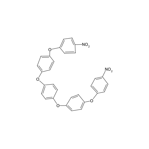 O=[N+]([O-])c1ccc(Oc2ccc(Oc3ccc(Oc4ccc(Oc5ccc([N+](=O)[O-])cc5)cc4)cc3)cc2)cc1